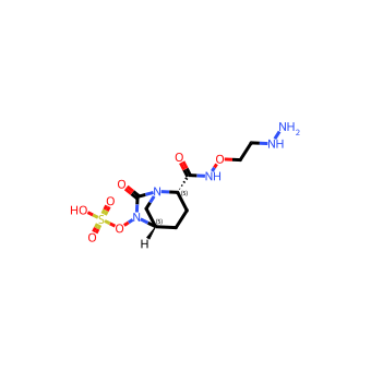 NNCCONC(=O)[C@@H]1CC[C@H]2CN1C(=O)N2OS(=O)(=O)O